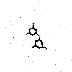 Clc1cc(Br)cc(Oc2cc(Cl)cc(Br)c2)c1